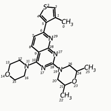 Cc1cscc1-c1ccc2c(N3CCOCC3)nc(N3CC(C)OC(C)C3)nc2n1